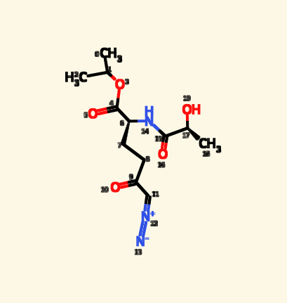 CC(C)OC(=O)[C@H](CCC(=O)C=[N+]=[N-])NC(=O)[C@H](C)O